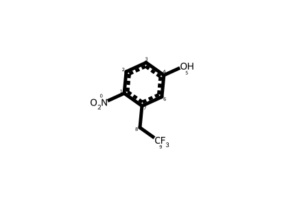 O=[N+]([O-])c1ccc(O)cc1CC(F)(F)F